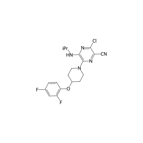 CC(C)Nc1nc(Cl)c(C#N)nc1N1CCC(Oc2ccc(F)cc2F)CC1